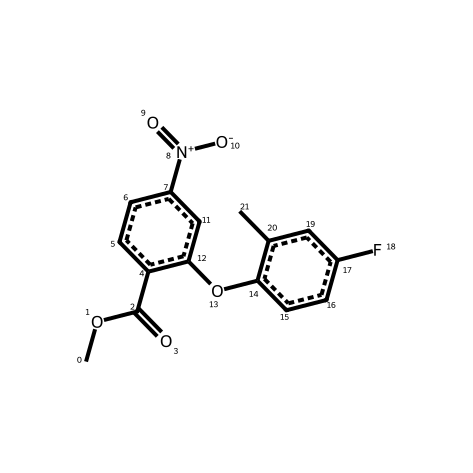 COC(=O)c1ccc([N+](=O)[O-])cc1Oc1ccc(F)cc1C